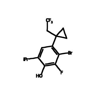 CC(C)c1cc(C2(CC(F)(F)F)CC2)c(Br)c(F)c1O